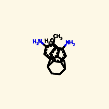 Cc1cc2c(cc1N)C1CCC2c2cc(N)c(C)cc2C1